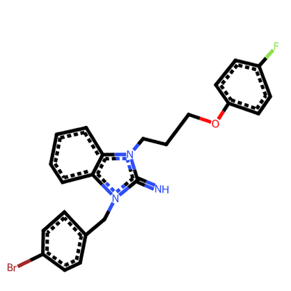 N=c1n(CCCOc2ccc(F)cc2)c2ccccc2n1Cc1ccc(Br)cc1